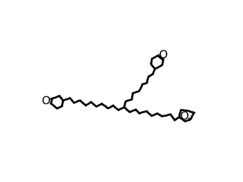 C(CCCCCC1CCC2OC2C1)CCCCC(CCCCCCCCCC1CC2CC(C1)O2)CCCCCCCCC1CCC2OC2C1